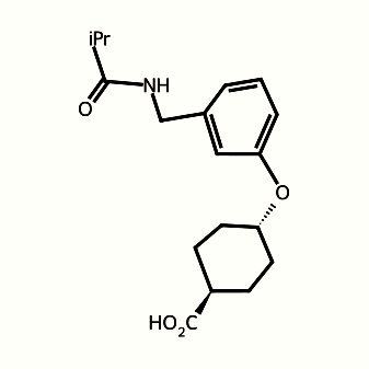 CC(C)C(=O)NCc1cccc(O[C@H]2CC[C@H](C(=O)O)CC2)c1